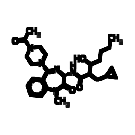 CCCCC(O)C(CC1CC1)C(=O)N[C@H]1N=C(N2CCN(C(C)=O)CC2)c2ccccc2N(C)C1=O